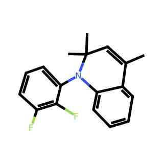 CC1=CC(C)(C)N(c2cccc(F)c2F)c2ccccc21